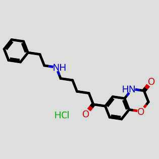 Cl.O=C1COc2ccc(C(=O)CCCCNCCc3ccccc3)cc2N1